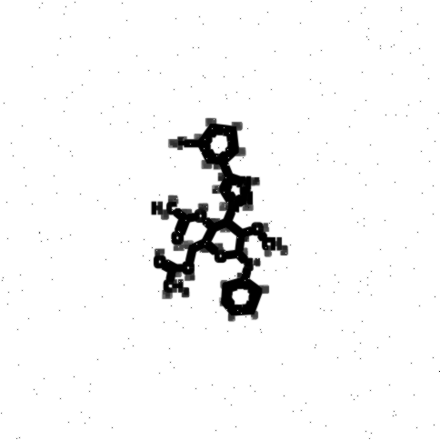 COC1C(Sc2ccccc2)OC(COC(C)=O)C(OC(C)=O)C1n1cc(-c2cccc(F)c2)nn1